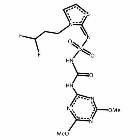 COc1nc(NC(=O)NS(=O)(=O)/N=c2/sccn2CCC(F)F)nc(OC)n1